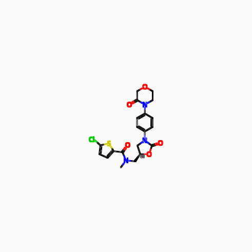 CN(C[C@H]1CN(c2ccc(N3CCOCC3=O)cc2)C(=O)O1)C(=O)c1ccc(Cl)s1